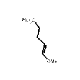 CO/C=C/CCC(=O)O